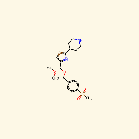 CC(C)(C)OC=O.CS(=O)(=O)c1ccc(COCc2csc(C3CCNCC3)n2)cc1